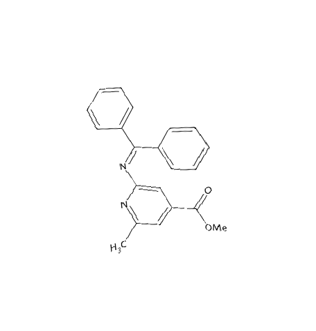 COC(=O)c1cc(C)nc(N=C(c2ccccc2)c2ccccc2)c1